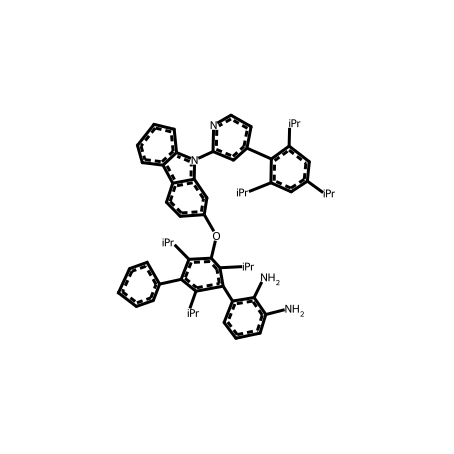 CC(C)c1cc(C(C)C)c(-c2ccnc(-n3c4ccccc4c4ccc(Oc5c(C(C)C)c(-c6ccccc6)c(C(C)C)c(-c6cccc(N)c6N)c5C(C)C)cc43)c2)c(C(C)C)c1